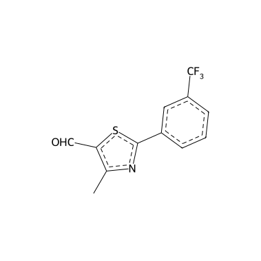 Cc1nc(-c2cccc(C(F)(F)F)c2)sc1C=O